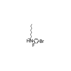 CCCCCCCC(C)Nc1ccc(Br)cc1F